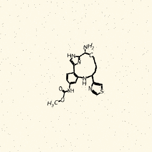 COC(=O)Nc1ccc2c(c1)NC(c1cscn1)CCCC[C@H](N)c1nc-2c[nH]1